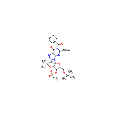 CC(=O)Nc1nc2c(ncn2C2OC(CO[Si](C)(C)C(C)(C)C)C(OS(C)(=O)=O)C2O[Si](C)(C)C(C)(C)C)c(=O)n1C(=O)c1ccccc1